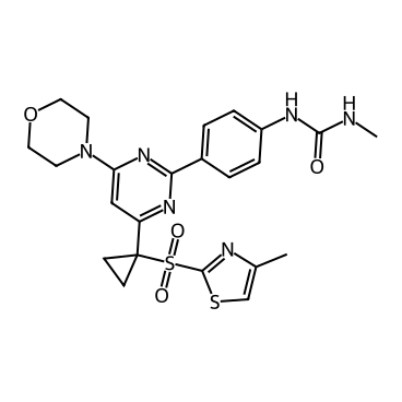 CNC(=O)Nc1ccc(-c2nc(N3CCOCC3)cc(C3(S(=O)(=O)c4nc(C)cs4)CC3)n2)cc1